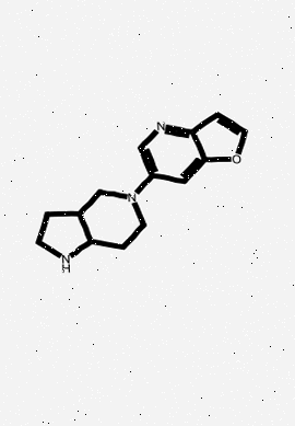 c1cc2ncc(N3CCC4NCCC4C3)cc2o1